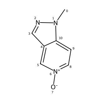 Cn1ncc2c[n+]([O-])ccc21